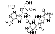 Cl.Nc1nc2[nH]cnc2c(=O)[nH]1.Nc1ncnc2c1ncn2[C@@H]1O[C@H](CO)[C@@H](O)[C@H]1O.O=c1[nH]cnc2nc[nH]c12